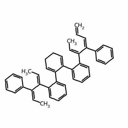 C=C/C=C(\C(=C/C)c1ccccc1C1=CCCC=C1c1ccccc1C(=C/C)/C(=C\C)c1ccccc1)c1ccccc1